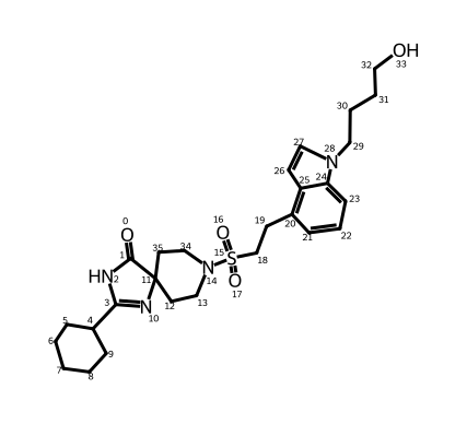 O=C1NC(C2CCCCC2)=NC12CCN(S(=O)(=O)CCc1cccc3c1ccn3CCCCO)CC2